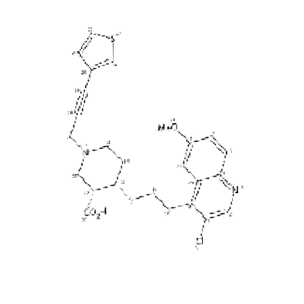 COc1ccc2ncc(Cl)c(CCC[C@H]3CCN(CC#Cc4ccsc4)C[C@H]3C(=O)O)c2c1